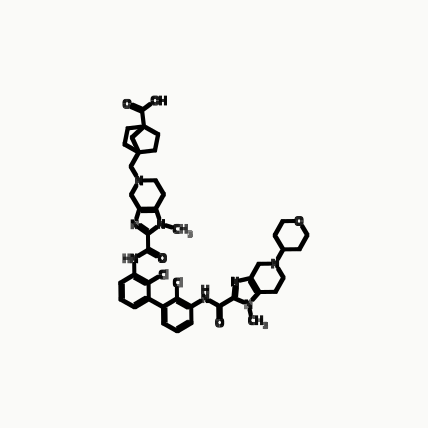 Cn1c(C(=O)Nc2cccc(-c3cccc(NC(=O)c4nc5c(n4C)CCN(C4CCOCC4)C5)c3Cl)c2Cl)nc2c1CCN(CC13CCC(C(=O)O)(CC1)C3)C2